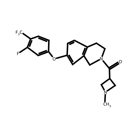 CN1CC(C(=O)N2CCc3ccc(Oc4ccc(C(F)(F)F)c(F)c4)cc3C2)C1